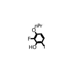 CCCOc1ccc(I)c(O)c1F